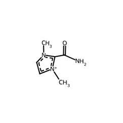 Cn1cc[n+](C)c1C(N)=O